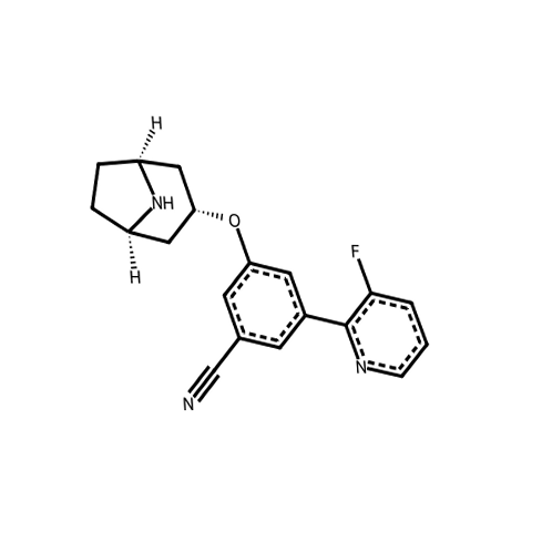 N#Cc1cc(O[C@@H]2C[C@H]3CC[C@@H](C2)N3)cc(-c2ncccc2F)c1